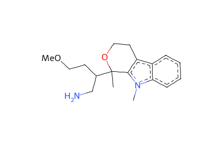 COCCC(CN)C1(C)OCCc2c1n(C)c1ccccc21